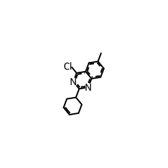 Cc1ccc2nc(C3CC=CCC3)nc(Cl)c2c1